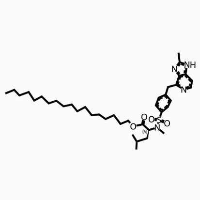 CCCCCCCCCCCCCCCCCCOC(=O)[C@H](CC(C)C)N(C)S(=O)(=O)c1ccc(Cc2nccc3[nH]c(C)nc23)cc1